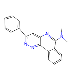 CN(C)c1nc2cc(-c3ccccc3)nnc2c2ccccc12